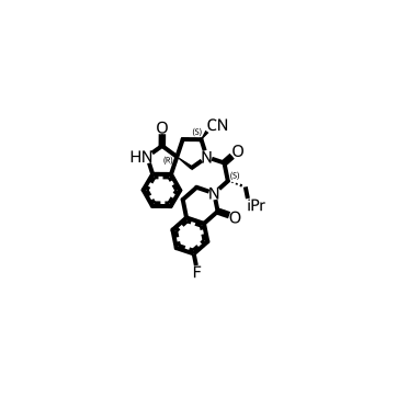 CC(C)C[C@@H](C(=O)N1C[C@]2(C[C@H]1C#N)C(=O)Nc1ccccc12)N1CCc2ccc(F)cc2C1=O